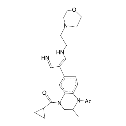 CC(=O)N1c2ccc(/C(C=N)=C/NCCN3CCOCC3)cc2N(C(=O)C2CC2)CC1C